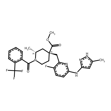 COC(=O)[C@]1(Cc2nc(Nc3cc(C)[nH]n3)ccc2F)CCN(C(=O)c2ccccc2C(F)(F)F)[C@H](C)C1